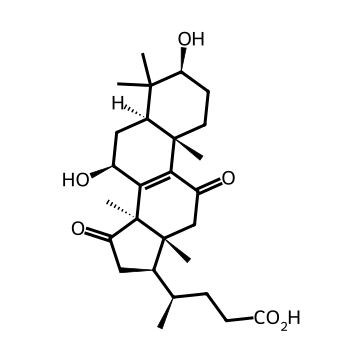 C[C@H](CCC(=O)O)[C@H]1CC(=O)[C@@]2(C)C3=C(C(=O)C[C@]12C)[C@@]1(C)CC[C@H](O)C(C)(C)[C@@H]1C[C@@H]3O